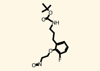 CC(C)(C)OC(=O)NCCCc1cccc(F)c1OCCN=O